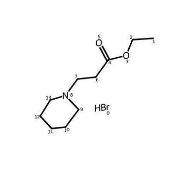 Br.CCOC(=O)CCN1CCCCC1